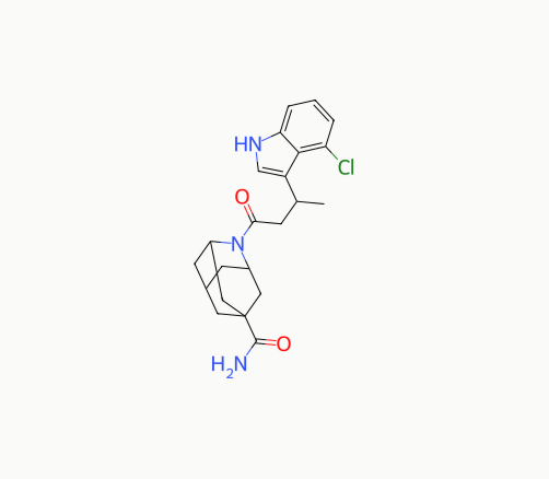 CC(CC(=O)N1C2CC3CC1CC(C(N)=O)(C3)C2)c1c[nH]c2cccc(Cl)c12